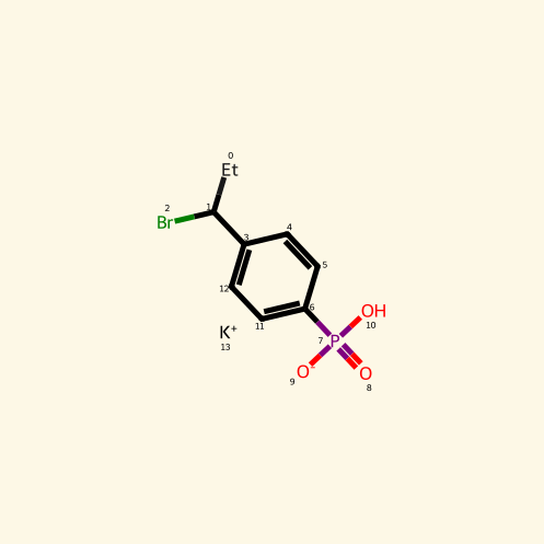 CCC(Br)c1ccc(P(=O)([O-])O)cc1.[K+]